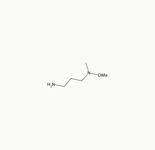 CON(C)CCCN